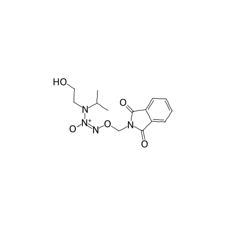 CC(C)N(CCO)/[N+]([O-])=N\OCN1C(=O)c2ccccc2C1=O